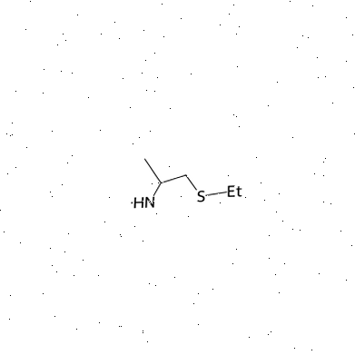 CCSCC(C)[NH]